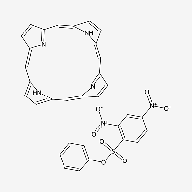 C1=Cc2cc3ccc(cc4nc(cc5ccc(cc1n2)[nH]5)C=C4)[nH]3.O=[N+]([O-])c1ccc(S(=O)(=O)Oc2ccccc2)c([N+](=O)[O-])c1